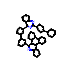 c1ccc(-c2ccc(-c3nc(-c4cccc(-c5cccc(-c6nc7ccccc7c7c8ccccc8c8ccccc8c67)c5)c4)c4ccccc4n3)cc2)cc1